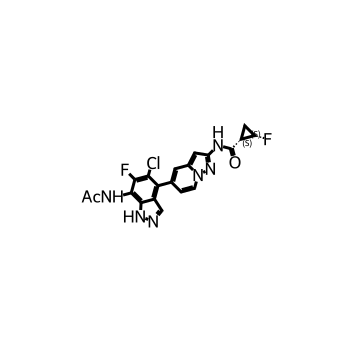 CC(=O)Nc1c(F)c(Cl)c(-c2ccn3nc(NC(=O)[C@@H]4C[C@@H]4F)cc3c2)c2cn[nH]c12